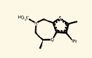 Cc1sc2c(c1C(C)C)O[C@@H](C)CN(C(=O)O)C2